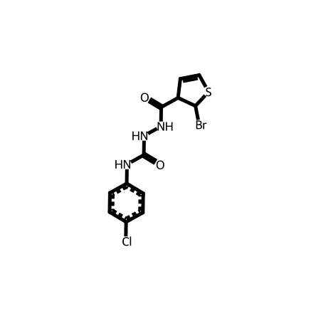 O=C(NNC(=O)C1C=CSC1Br)Nc1ccc(Cl)cc1